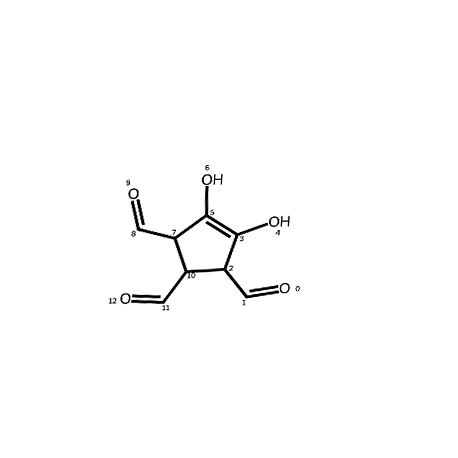 O=CC1C(O)=C(O)C(C=O)C1C=O